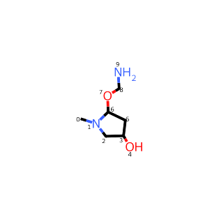 CN1CC(O)CC1OCN